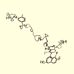 C#Cc1c(F)ccc2cc(O)cc(-c3ccc4c(N5CCC[C@@](C)(O)C5)nc(OCC5(CN6CCC(CCOCC7CCN(C(=O)c8ccc(C)c(N9CCC(=O)NC9=O)c8)CC7)CC6)CC5)nc4c3F)c12